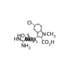 COc1c(C(=O)O)n(C)c2ccc(Cl)cc12.CS(=O)(=O)O.N=C(N)N